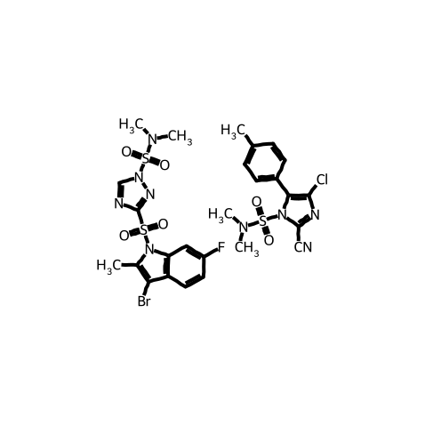 Cc1c(Br)c2ccc(F)cc2n1S(=O)(=O)c1ncn(S(=O)(=O)N(C)C)n1.Cc1ccc(-c2c(Cl)nc(C#N)n2S(=O)(=O)N(C)C)cc1